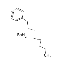 CCCCCCCCc1cc[c]cc1.[BaH2]